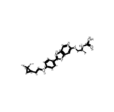 C[C@@H](COc1cc2oc(-c3ccc(OCCC4CC4(F)F)cc3)nc2cn1)NC(=O)O